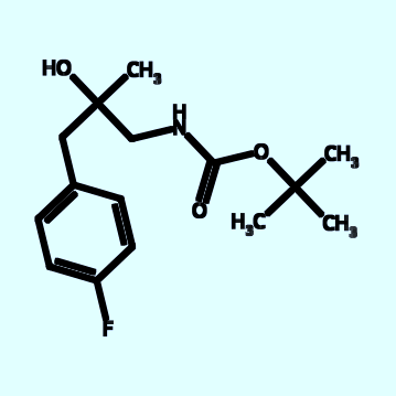 CC(O)(CNC(=O)OC(C)(C)C)Cc1ccc(F)cc1